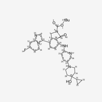 CC(C)(C)OC(=O)N1Cc2c(-c3cnc4cc(F)ccn34)ccc(Nc3ccc(N4CCC(O)(C5CC5)CC4)cn3)c2C1=O